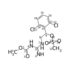 COC(=O)NC(=N)NCC(OS(C)(=O)=O)c1c(Cl)cccc1Cl